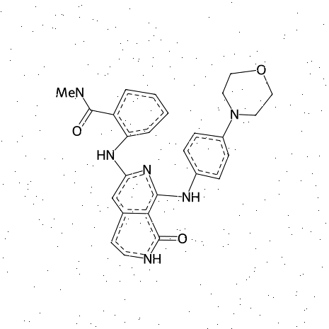 CNC(=O)c1ccccc1Nc1cc2cc[nH]c(=O)c2c(Nc2ccc(N3CCOCC3)cc2)n1